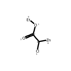 CCOC(=O)[CH](Cl)[Zn]